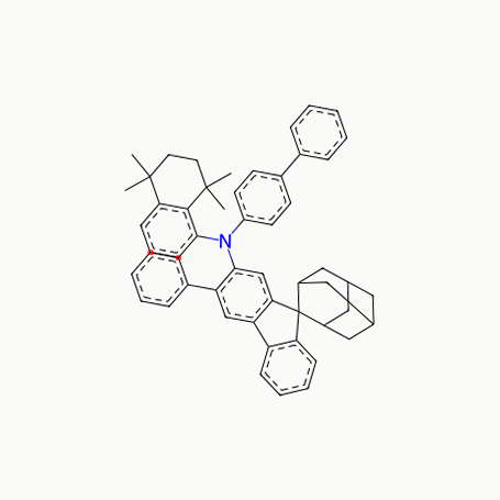 CC1(C)CCC(C)(C)c2c(N(c3ccc(-c4ccccc4)cc3)c3cc4c(cc3-c3ccccc3)-c3ccccc3C43C4CC5CC(C4)CC3C5)cccc21